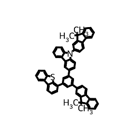 CC1(C)c2ccccc2-c2ccc(-c3cc(-c4ccc5c(c4)c4ccccc4n5-c4ccc5c(c4)C(C)(C)c4ccccc4-5)cc(-c4cccc5c4sc4ccccc45)c3)cc21